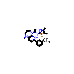 C=C(Nc1nc(C)c(C)s1)N1CCCN(C)c2ccc(-c3cccc(C(F)(F)F)c3)nc21